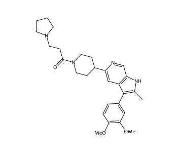 COc1ccc(-c2c(C)[nH]c3cnc(C4CCN(C(=O)CCN5CCCC5)CC4)cc23)cc1OC